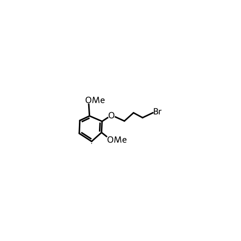 COc1[c]ccc(OC)c1OCCCBr